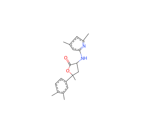 Cc1cc(C)nc(NC2CC(C)(c3ccc(C)c(C)c3)OC2=O)c1